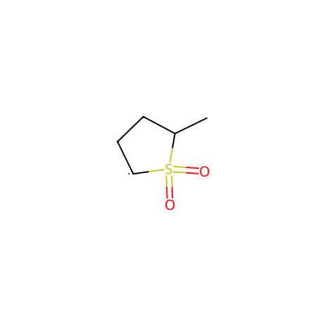 CC1CC[CH]S1(=O)=O